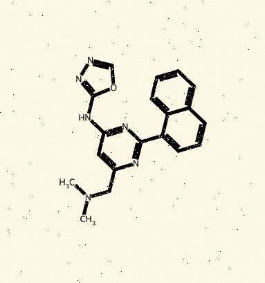 CN(C)Cc1cc(Nc2nnco2)nc(-c2cccc3ccccc23)n1